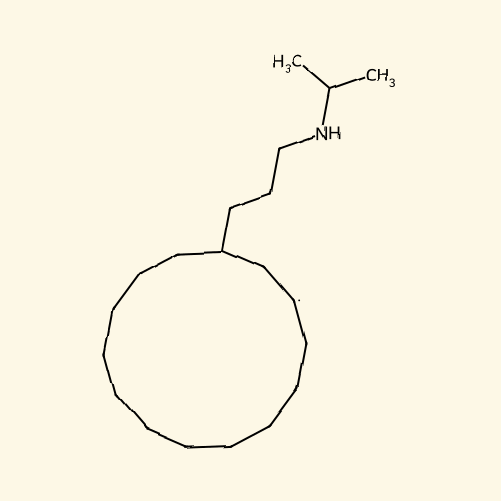 CC(C)NCCCC1C[CH]CCCCCCCCCCC1